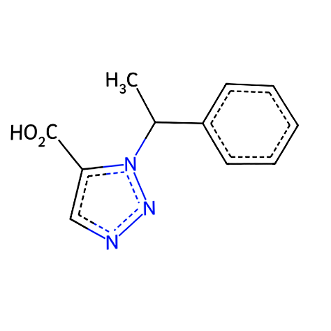 CC(c1ccccc1)n1nncc1C(=O)O